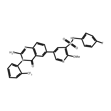 COc1ncc(-c2ccc3nc(N)n(-c4ccccc4C(F)(F)F)c(=O)c3c2)cc1S(=O)(=O)Nc1ccc(F)cc1